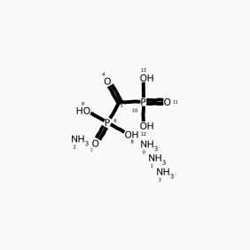 N.N.N.N.O=C(P(=O)(O)O)P(=O)(O)O